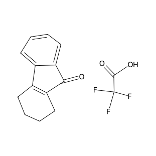 O=C(O)C(F)(F)F.O=C1C2=C(CCCC2)c2ccccc21